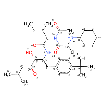 CCC(C)C(C(=O)N[C@@H](Cc1ccc(C(C)(C)C)cc1)[C@@H](O)[C@@H](O)CC(C)C)N(C(C)=O)C(=O)C(C)NC1CCCCC1